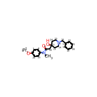 CC(C)Oc1ccc(N(C)C(=O)CC2(O)CCN(Cc3ccccc3)CC2)cc1